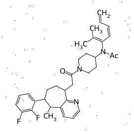 C=C/C=C\C(=C(C)C)N(C(C)=O)C1CCN(C(=O)CC2CCC(c3cccc(F)c3F)C(C)c3cccnc32)CC1